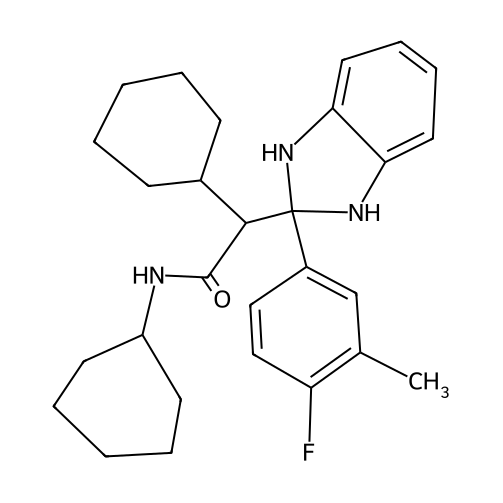 Cc1cc(C2(C(C(=O)NC3CCCCC3)C3CCCCC3)Nc3ccccc3N2)ccc1F